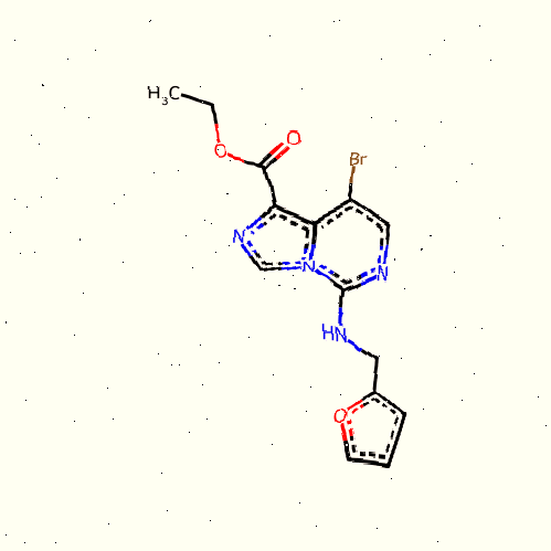 CCOC(=O)c1ncn2c(NCc3ccco3)ncc(Br)c12